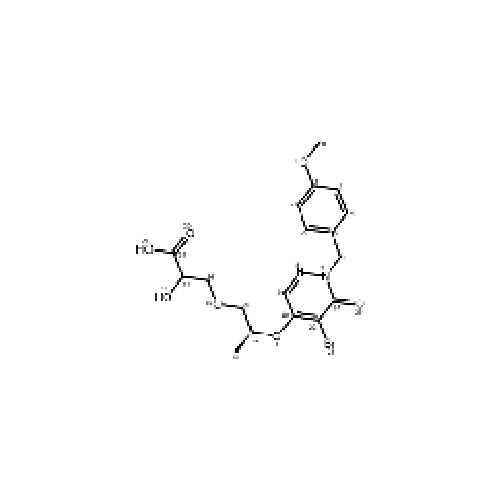 COc1ccc(Cn2ncc(O[C@@H](C)COCC(O)C(=O)O)c(Br)c2=O)cc1